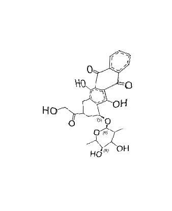 CC1C(O)[C@@H](O)C(C)O[C@H]1O[C@H]1CC(C(=O)CO)Cc2c(O)c3c(c(O)c21)C(=O)c1ccccc1C3=O